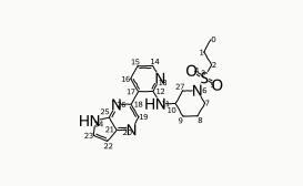 CCCS(=O)(=O)N1CCCC(Nc2ncccc2-c2cnc3cc[nH]c3n2)C1